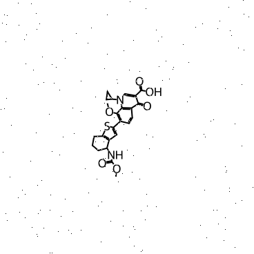 COC(=O)NC1CCCc2sc(-c3ccc4c(=O)c(C(=O)O)cn(C5CC5)c4c3OC)cc21